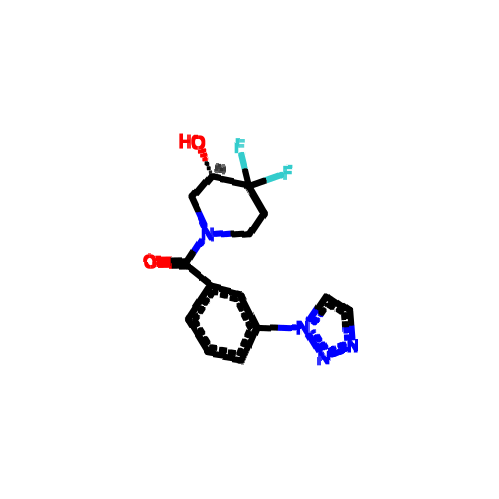 O=C(c1cccc(-n2ccnn2)c1)N1CCC(F)(F)[C@@H](O)C1